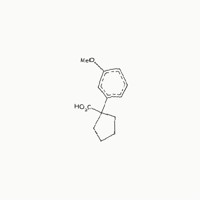 COc1cccc(C2(C(=O)O)CCCC2)c1